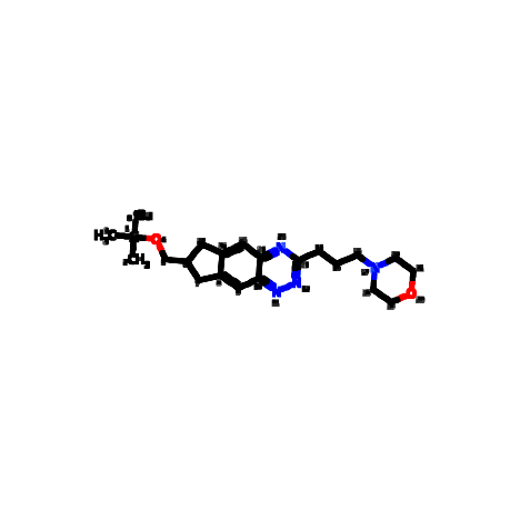 CC(C)(C)[Si](C)(C)OCC1Cc2cc3nnc(CCCN4CCOCC4)nc3cc2C1